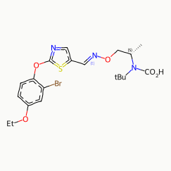 CCOc1ccc(Oc2ncc(/C=N/OC[C@H](C)N(C(=O)O)C(C)(C)C)s2)c(Br)c1